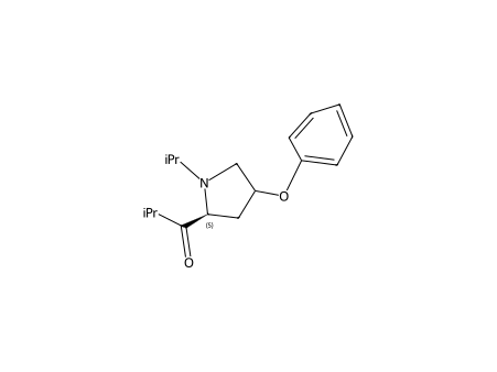 CC(C)C(=O)[C@@H]1CC(Oc2ccccc2)CN1C(C)C